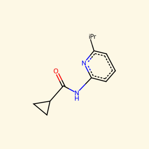 CC(C)c1cccc(NC(=O)C2CC2)n1